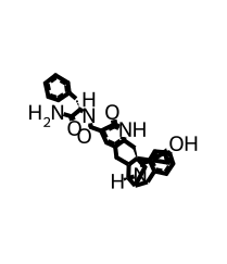 NC(=O)[C@H](Cc1ccccc1)NC(=O)c1cc2c([nH]c1=O)C[C@]13CC4C(c5ccc(O)cc51)N(CC1CC1)[C@H]4C3C2